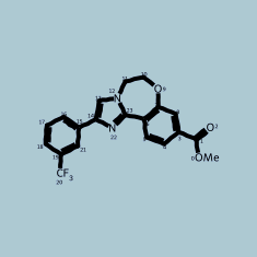 COC(=O)c1ccc2c(c1)OCCn1cc(-c3cccc(C(F)(F)F)c3)nc1-2